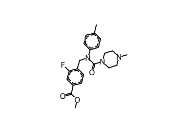 COC(=O)c1ccc(CN(C(=O)N2CCN(C)CC2)c2ccc(C)cc2)c(F)c1